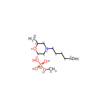 CCCCCCCCCCCCCCN1CCOC(C)C1.COS(=O)(=O)O